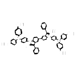 Cc1ccc(N(c2ccc(C)cc2)c2ccc(-n3c(C)c(-c4ccccc4)c4cc(-c5ccc6c(c5)c(-c5ccccc5)c(C)n6-c5ccc(N(c6ccc(C)cc6)c6ccc(C)cc6)cc5)ccc43)cc2)cc1